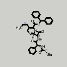 C/C=C\C1=C(C(=O)OC(c2ccccc2)c2ccccc2)N2C(=O)[C@@H](NC(=O)C(NC(=O)OC(C)(C)C)c3ccccc3)[C@H]2SC1